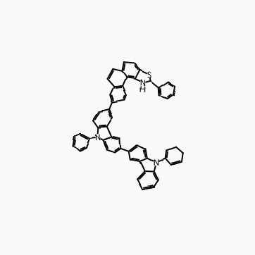 C1=CC(n2c3ccccc3c3cc(-c4ccc5c(c4)c4cc(-c6ccc7c(ccc8ccc9c(c87)NC(c7ccccc7)S9)c6)ccc4n5-c4ccccc4)ccc32)=CCC1